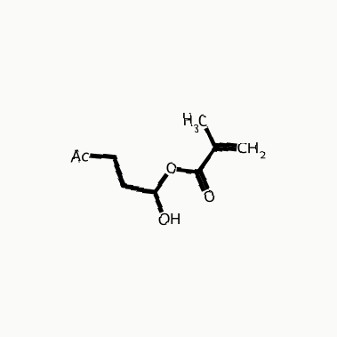 C=C(C)C(=O)OC(O)CCC(C)=O